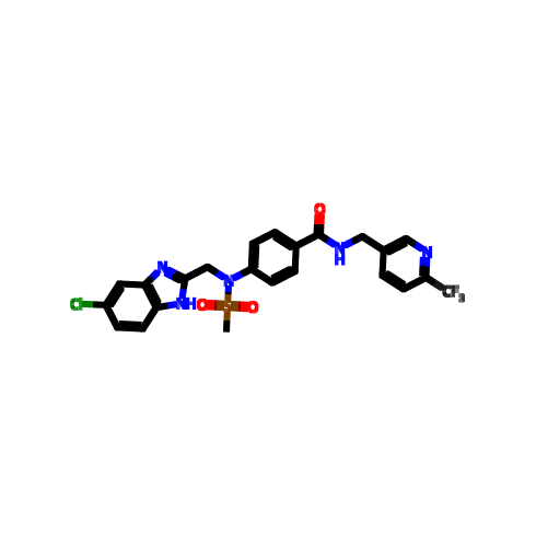 CS(=O)(=O)N(Cc1nc2cc(Cl)ccc2[nH]1)c1ccc(C(=O)NCc2ccc(C(F)(F)F)nc2)cc1